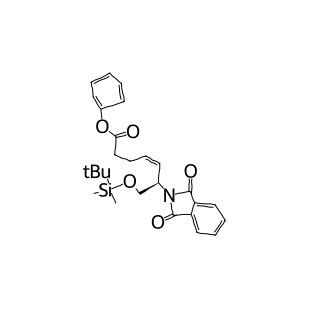 CC(C)(C)[Si](C)(C)OC[C@@H](/C=C\CCC(=O)Oc1ccccc1)N1C(=O)c2ccccc2C1=O